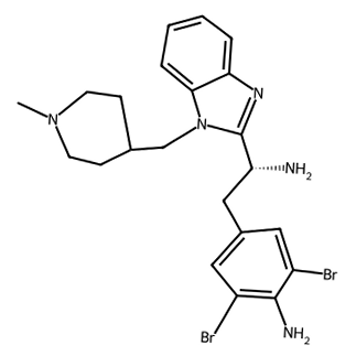 CN1CCC(Cn2c([C@H](N)Cc3cc(Br)c(N)c(Br)c3)nc3ccccc32)CC1